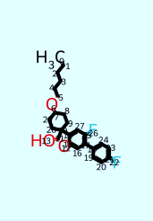 CCCCCCOC1CCC(C(=O)O)(c2ccc(-c3ccc(F)cc3)c(F)c2)CC1